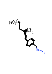 CCOC(=O)CC/C(C)=C/c1ccc(CN)cc1